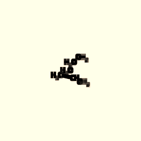 CC.O.O.O.O